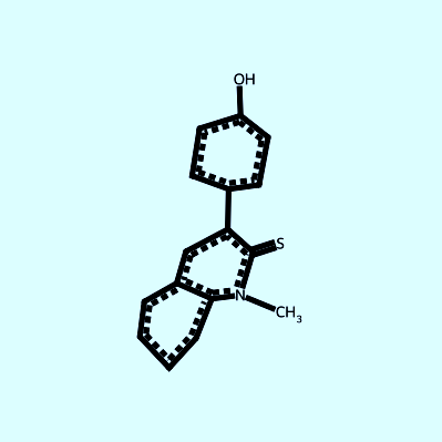 Cn1c(=S)c(-c2ccc(O)cc2)cc2ccccc21